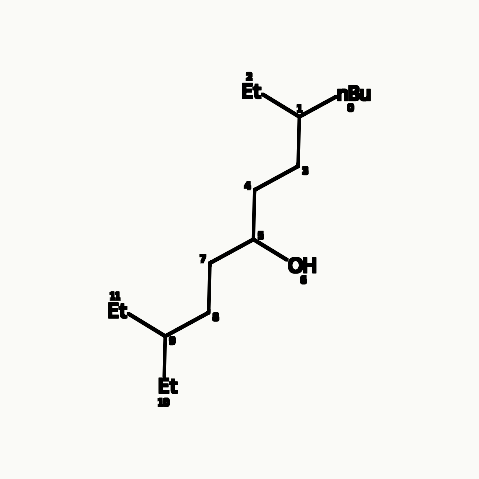 CCCCC(CC)CCC(O)CCC(CC)CC